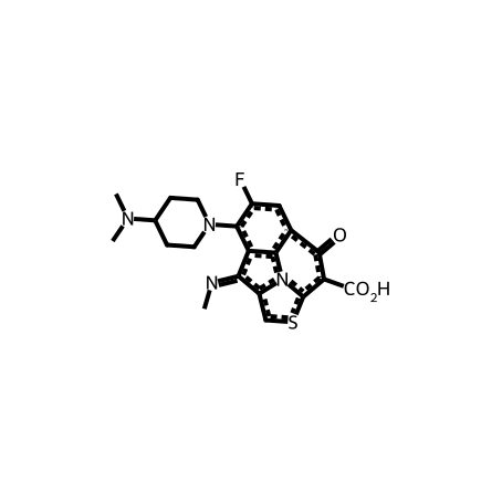 CN=c1c2c(N3CCC(N(C)C)CC3)c(F)cc3c(=O)c(C(=O)O)c4scc1n4c32